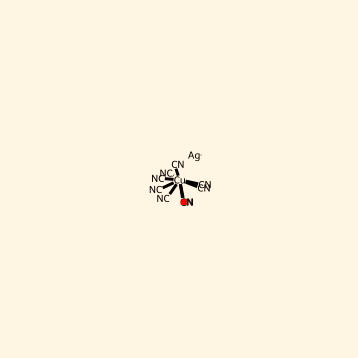 N#[C][Cu]([C]#N)([C]#N)([C]#N)([C]#N)([C]#N)([C]#N)([C]#N)[C]#N.[Ag]